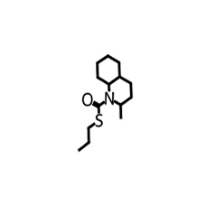 CCCSC(=O)N1C(C)CCC2CCCCC21